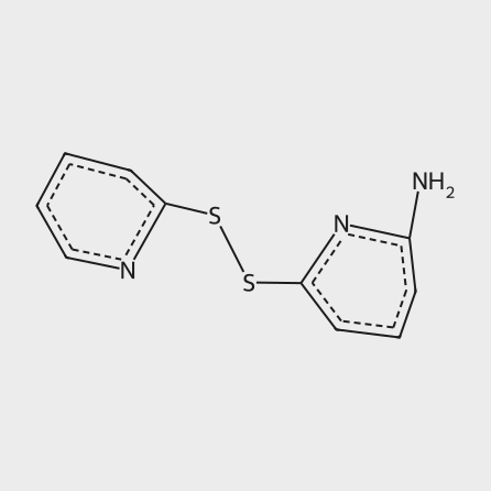 Nc1cccc(SSc2ccccn2)n1